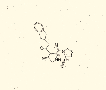 N#C[C@@H]1CSCN1C(=O)[C@H]1NCC(=S)C1C(=O)CC1Cc2ccccc2C1